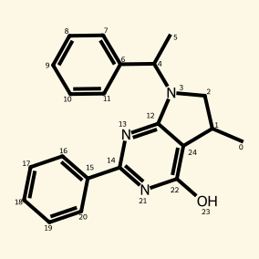 CC1CN(C(C)c2ccccc2)c2nc(-c3ccccc3)nc(O)c21